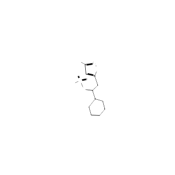 CCS(=O)(=O)OC(Cc1cc(C)no1)C1CCCCC1